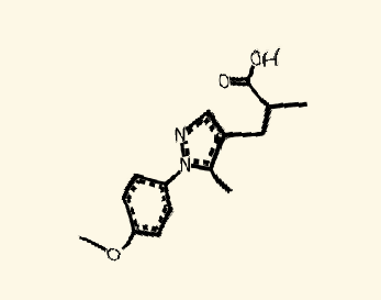 COc1ccc(-n2ncc(CC(C)C(=O)O)c2C)cc1